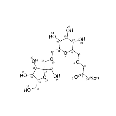 CCCCCCCCCC(=O)COCC1O[C@H](COC[C@]2(CO)O[C@H](CO)C(O)C2O)C(O)C(O)[C@@H]1O